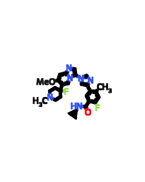 COc1cc2ncc(-n3cnc(-c4cc(C(=O)NC5CC5)c(F)cc4C)c3)n2cc1C1(F)CCN(C)CC1